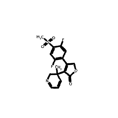 CC1(C2=C(c3cc(F)c(S(C)(=O)=O)cc3F)COC2=O)C=CC=NC1